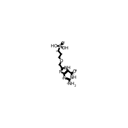 Nc1nc2nc(COCCCP(=O)(O)O)[nH]c2c(=O)[nH]1